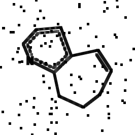 C1=Cc2cccnc2CCC1